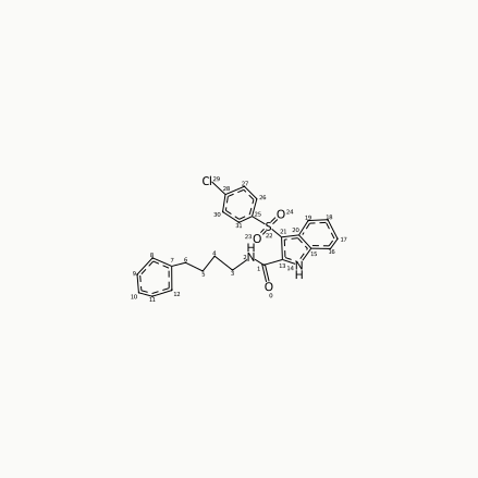 O=C(NCCCCc1ccccc1)c1[nH]c2ccccc2c1S(=O)(=O)c1ccc(Cl)cc1